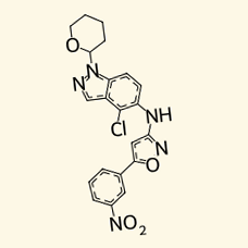 O=[N+]([O-])c1cccc(-c2cc(Nc3ccc4c(cnn4C4CCCCO4)c3Cl)no2)c1